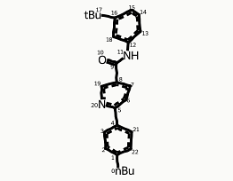 CCCCc1ccc(-c2ccc(C(=O)Nc3cccc(C(C)(C)C)c3)cn2)cc1